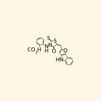 O=C(O)c1ccccc1NN1C(=O)/C(=C\c2cc3[nH]c4ccccc4c3o2)SC1=S